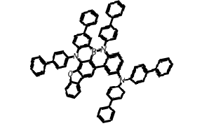 C1=CC(N(c2ccc(-c3ccccc3)cc2)c2ccc3c(c2)-c2cc4c(oc5ccccc54)c4c2B(c2cc(-c5ccccc5)ccc2N4c2ccc(-c4ccccc4)cc2)N3c2ccc(-c3ccccc3)cc2)CC=C1c1ccccc1